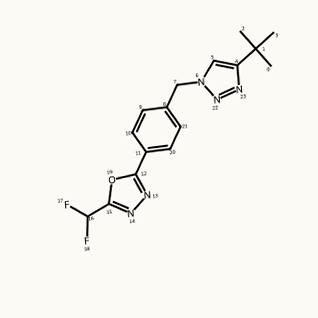 CC(C)(C)c1cn(Cc2ccc(-c3nnc(C(F)F)o3)cc2)nn1